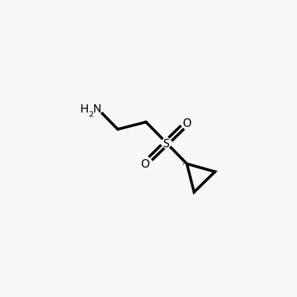 NCCS(=O)(=O)[C]1CC1